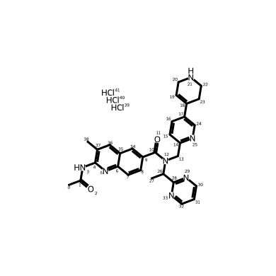 CC(=O)Nc1nc2ccc(C(=O)N(Cc3ccc(C4=CCNCC4)cn3)C(C)c3ncccn3)cc2cc1C.Cl.Cl.Cl